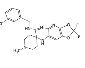 CN1CCC2(CC1)Nc1cc3c(nc1N=C2NCc1cccc(Cl)c1)OC(F)(F)O3